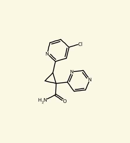 NC(=O)C1(c2ccncn2)CC1c1cc(Cl)ccn1